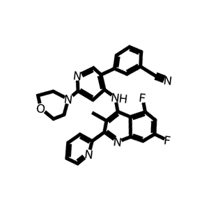 Cc1c(-c2ccccn2)nc2cc(F)cc(F)c2c1Nc1cc(N2CCOCC2)ncc1-c1cccc(C#N)c1